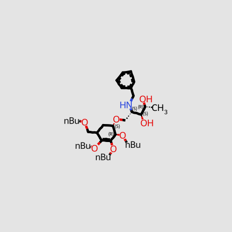 CCCCOCC1C[C@H](OC[C@H](NCc2ccccc2)[C@H](O)[C@@H](C)O)[C@@H](OCCCC)C(OCCCC)=C1OCCCC